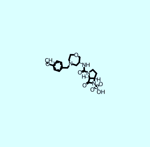 COc1ccc(CN2CCOC[C@H](NC(=O)N3CC[C@@H]4[C@H]3C(=O)N4S(=O)(=O)O)C2)cc1